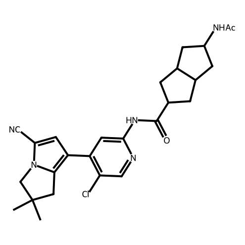 CC(=O)NC1CC2CC(C(=O)Nc3cc(-c4cc(C#N)n5c4CC(C)(C)C5)c(Cl)cn3)CC2C1